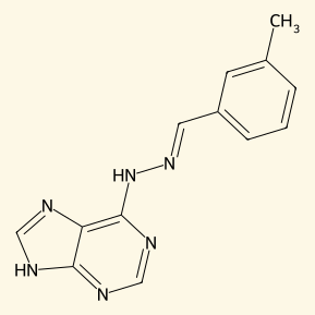 Cc1cccc(C=NNc2ncnc3[nH]cnc23)c1